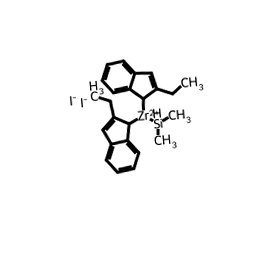 CCC1=Cc2ccccc2[CH]1[Zr+2]([CH]1C(CC)=Cc2ccccc21)[SiH](C)C.[I-].[I-]